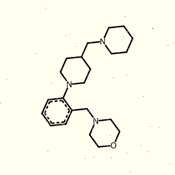 c1ccc(N2CCC(CN3CCCCC3)CC2)c(CN2CCOCC2)c1